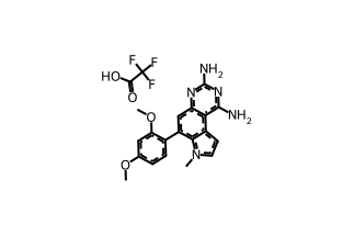 COc1ccc(-c2cc3nc(N)nc(N)c3c3ccn(C)c23)c(OC)c1.O=C(O)C(F)(F)F